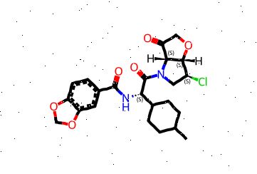 CC1CCC([C@H](NC(=O)c2ccc3c(c2)OCO3)C(=O)N2C[C@H](Cl)[C@H]3OCC(=O)[C@H]32)CC1